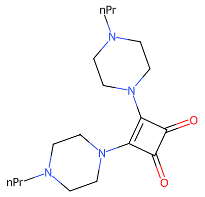 CCCN1CCN(c2c(N3CCN(CCC)CC3)c(=O)c2=O)CC1